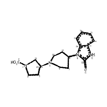 O=C(O)N1CC[C@H](N2CCC(n3c(=O)[nH]c4ccccc43)CC2)C1